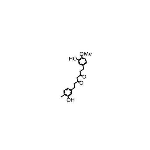 COc1ccc(CCC(=O)CC(=O)CCc2ccc(C)c(O)c2)cc1O